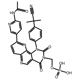 CC(=O)Nc1ccc(-c2ccc3ncc4c(=O)n(COP(=O)(O)O)c(=O)n(-c5ccc(C(C)(C)C#N)cc5)c4c3n2)cn1